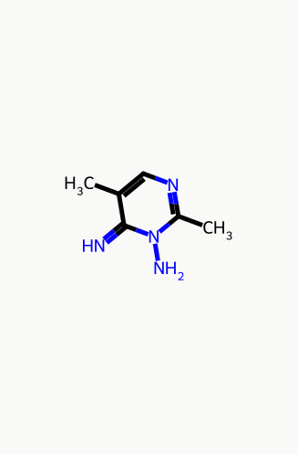 Cc1cnc(C)n(N)c1=N